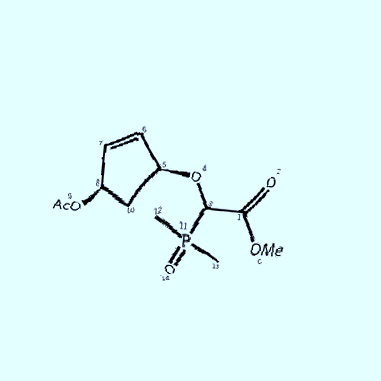 COC(=O)C(O[C@@H]1C=C[C@H](OC(C)=O)C1)P(C)(C)=O